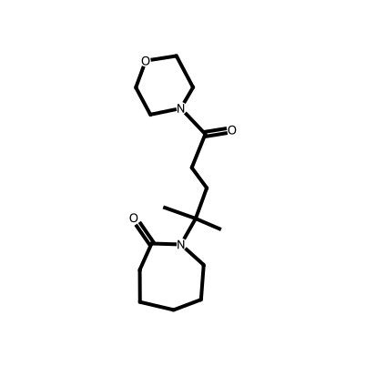 CC(C)(CCC(=O)N1CCOCC1)N1CCCCCC1=O